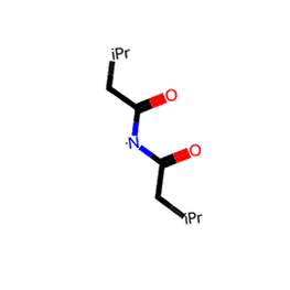 CC(C)CC(=O)[N]C(=O)CC(C)C